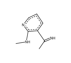 CNc1ncccc1C(C)=N